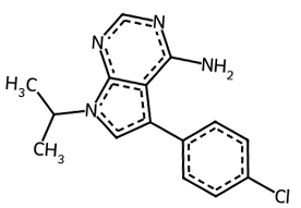 CC(C)n1cc(-c2ccc(Cl)cc2)c2c(N)ncnc21